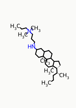 CCC[C@@H](C)[C@H]1CCC2C3CCC4CC(NCCC[N+](C)(C)CCC)CC[C@]4(C)C3CC[C@@]21C